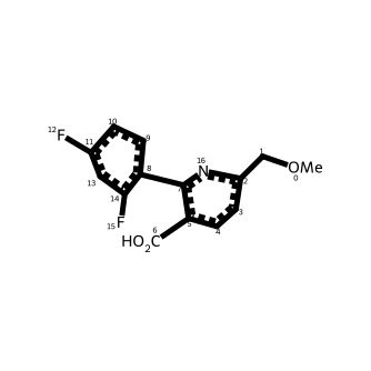 COCc1ccc(C(=O)O)c(-c2ccc(F)cc2F)n1